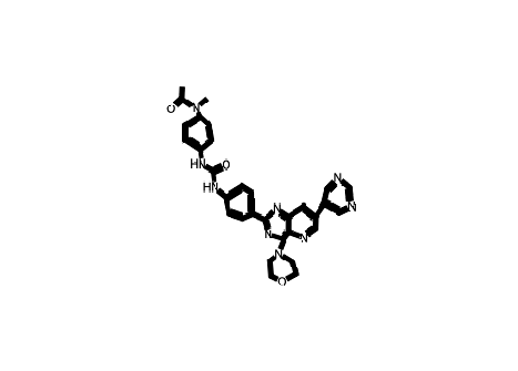 CC(=O)N(C)c1ccc(NC(=O)Nc2ccc(-c3nc(N4CCOCC4)c4ncc(-c5cncnc5)cc4n3)cc2)cc1